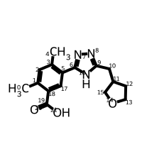 Cc1cc(C)c(-c2nnc(CC3CCOC3)[nH]2)cc1C(=O)O